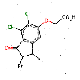 CCC1C(=O)c2c(cc(OCC(=O)O)c(Cl)c2Cl)C1C